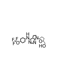 OCC1CCC(n2ccc3c(Nc4ccc(OC(F)(F)F)cc4)ncnc32)O1